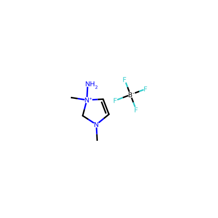 CN1C=C[N+](C)(N)C1.F[B-](F)(F)F